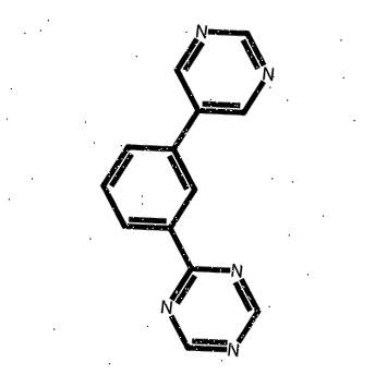 c1cc(-c2cncnc2)cc(-c2ncncn2)c1